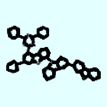 C1=CC(c2cc(-c3nc(C4=CCCC=C4)nc(-c4ccccc4)n3)c3c(c2)oc2c(-n4c5ccccc5c5cc(-c6ccc7c(c6)oc6ccccc67)ccc54)cccc23)=CCC1